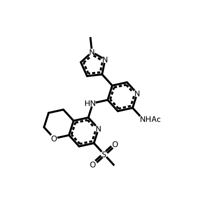 CC(=O)Nc1cc(Nc2nc(S(C)(=O)=O)cc3c2CCCO3)c(-c2ccn(C)n2)cn1